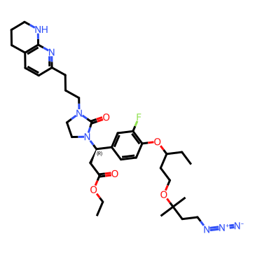 CCOC(=O)C[C@H](c1ccc(OC(CC)CCOC(C)(C)CCN=[N+]=[N-])c(F)c1)N1CCN(CCCc2ccc3c(n2)NCCC3)C1=O